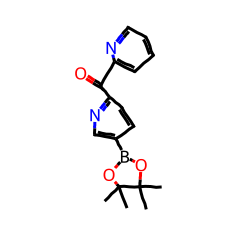 CC1(C)OB(c2ccc(C(=O)c3ccccn3)nc2)OC1(C)C